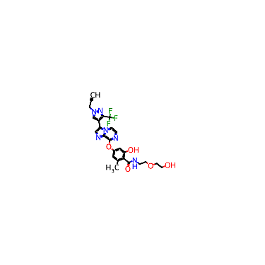 C#CCn1cc(-c2cnc3c(Oc4cc(C)c(C(=O)NCCOCCO)c(O)c4)nccn23)c(C(F)(F)F)n1